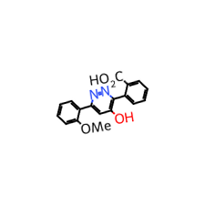 COc1ccccc1-c1cc(O)c(-c2ccccc2C(=O)O)nn1